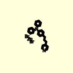 [Br][Zn][Br].c1ccc(N(c2ccccc2)c2ccc(CCCc3ccncc3)cc2)cc1